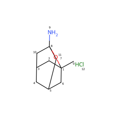 CC12CC3CC(C1)CC(N)(C3)O2.Cl